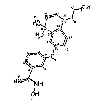 N=C(NO)c1cccc(Oc2ccc3c(c2)S(O)(O)N=CN3CCF)c1